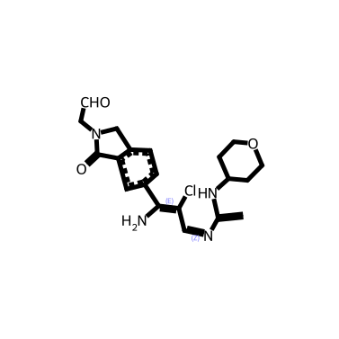 C=C(/N=C\C(Cl)=C(/N)c1ccc2c(c1)C(=O)N(CC=O)C2)NC1CCOCC1